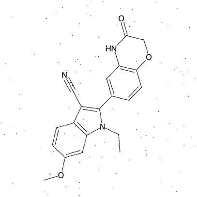 CCn1c(-c2ccc3c(c2)NC(=O)CO3)c(C#N)c2ccc(OC)cc21